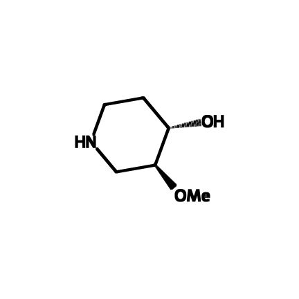 CO[C@H]1CNCC[C@@H]1O